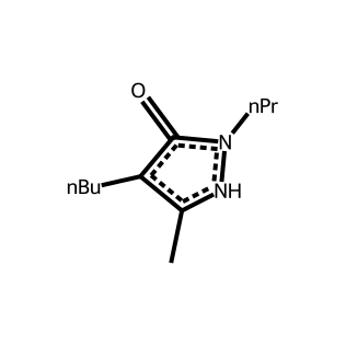 CCCCc1c(C)[nH]n(CCC)c1=O